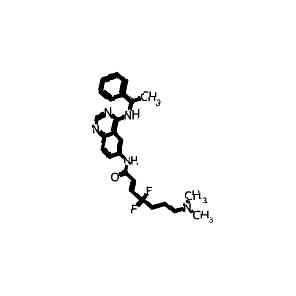 CC(Nc1ncnc2ccc(NC(=O)C=CC(F)(F)CCCN(C)C)cc12)c1ccccc1